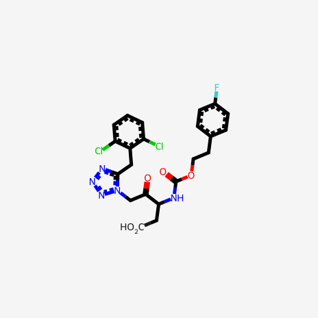 O=C(O)CC(NC(=O)OCCc1ccc(F)cc1)C(=O)Cn1nnnc1Cc1c(Cl)cccc1Cl